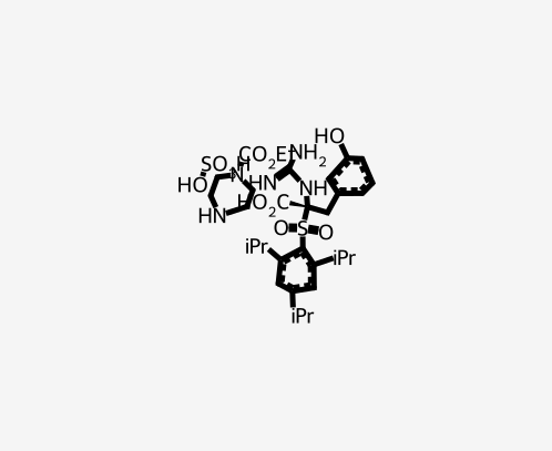 CC(C)c1cc(C(C)C)c(S(=O)(=O)[C@@](Cc2cccc(O)c2)(NC(=N)N)C(=O)O)c(C(C)C)c1.CCOC(=O)N1CCNCC1.O=S(=O)(O)O